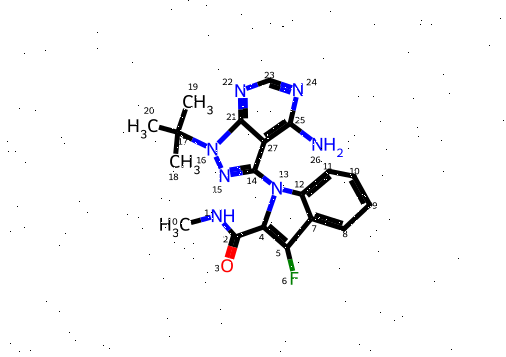 CNC(=O)c1c(F)c2ccccc2n1-c1nn(C(C)(C)C)c2ncnc(N)c12